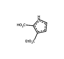 CCOC(=O)c1cc[nH]c1C(=O)O